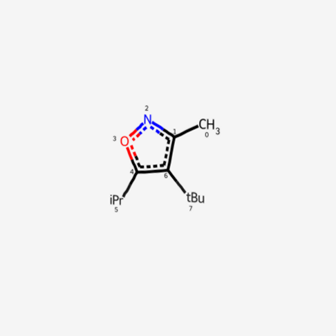 Cc1noc(C(C)C)c1C(C)(C)C